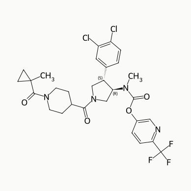 CN(C(=O)Oc1ccc(C(F)(F)F)nc1)[C@H]1CN(C(=O)C2CCN(C(=O)C3(C)CC3)CC2)C[C@@H]1c1ccc(Cl)c(Cl)c1